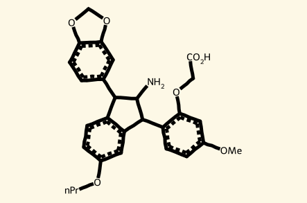 CCCOc1ccc2c(c1)C(c1ccc(OC)cc1OCC(=O)O)C(N)C2c1ccc2c(c1)OCO2